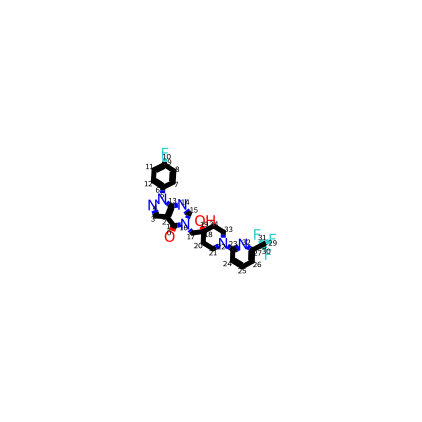 O=c1c2cnn(-c3ccc(F)cc3)c2ncn1CC1(O)CCN(c2cccc(C(F)(F)F)n2)CC1